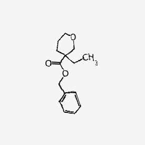 CCC1(C(=O)OCc2ccccc2)CCCOC1